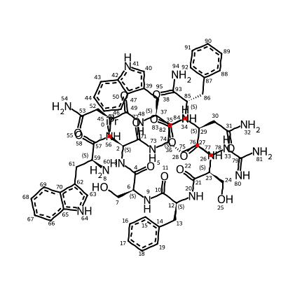 CC(C)C[C@H](NC(=O)[C@H](CO)NC(=O)[C@H](Cc1ccccc1)NC(=O)[C@H](CO)NC(=O)[C@H](CC(N)=O)NC(=O)[C@H](Cc1c[nH]c2ccccc12)NC(=O)[C@H](CC(N)=O)NC(=O)[C@@H](N)Cc1c[nH]c2ccccc12)C(=O)N[C@@H](CCCNC(=N)N)C(=O)N[C@@H](Cc1ccccc1)C(N)=O